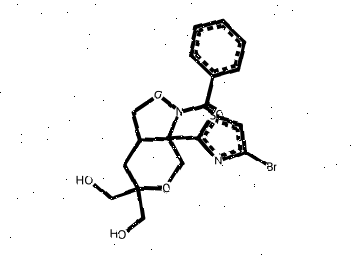 O=C(c1ccccc1)N1OCC2CC(CO)(CO)OCC21c1nc(Br)cs1